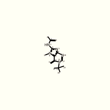 C=C(C)Nc1nc2c(n1C)C(=C)N(C(C)(C)C)C=N2